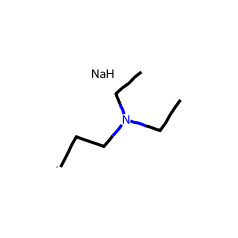 [CH2]CCN(CC)CC.[NaH]